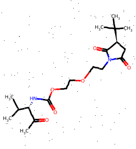 CC(=O)[C@@H](NC(=O)OCCOCCN1C(=O)C[C@H](C(C)(C)C)C1=O)C(C)C